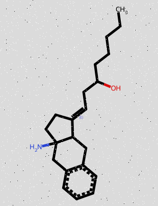 CCCCCC(O)C/C=C1\CCC2(N)Cc3ccccc3CC12